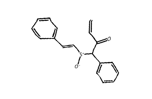 C=CC(=O)C(c1ccccc1)[S+]([O-])C=Cc1ccccc1